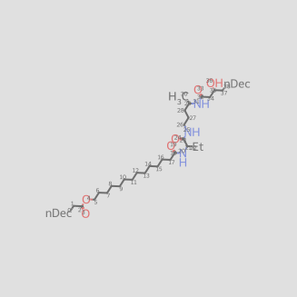 CCCCCCCCCCCC(=O)OCCCCCCCCCCCCCC(=O)NC(CC)C(=O)NCCCC(C)NC(=O)C[C@H](O)CCCCCCCCCCC